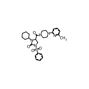 Cc1cccc(N2CCN(C(=O)C3CN(S(=O)(=O)c4ccccc4)C(=O)N3C3CCCCC3)CC2)n1